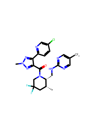 C[C@@H]1CC(F)(F)CN(C(=O)c2nn(C)nc2-c2ccc(Cl)cn2)[C@@H]1CNc1ncc(C(F)(F)F)cn1